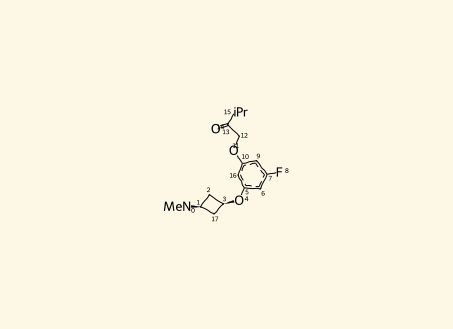 CN[C@H]1C[C@@H](Oc2cc(F)cc(OCC(=O)C(C)C)c2)C1